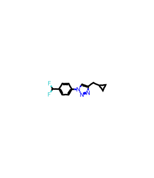 FC(F)c1ccc(-n2cc(CC3CC3)nn2)cc1